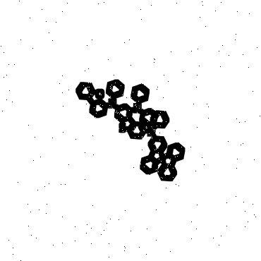 c1ccc(N(c2ccc3c(c2)-c2ccccc2C32c3ccccc3-c3ccccc32)c2ccc3sc4cc(N(c5ccccc5)c5cccc6c5oc5ccccc56)cc(N(c5ccccc5)c5ccccc5)c4c3c2)cc1